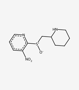 O=[N+]([O-])c1cccnc1[S+]([O-])CC1CCCCN1